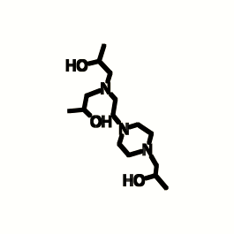 CC(O)CN1CCN(CCN(CC(C)O)CC(C)O)CC1